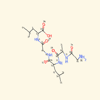 CC(C)CC(NC(=O)CNC(=O)C(CC(C)C)NC(=O)C(C)NC(=O)CN)C(=O)O